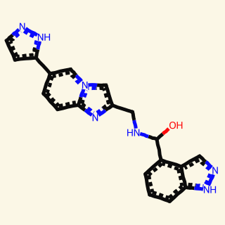 OC(NCc1cn2cc(-c3ccn[nH]3)ccc2n1)c1cccc2[nH]ncc12